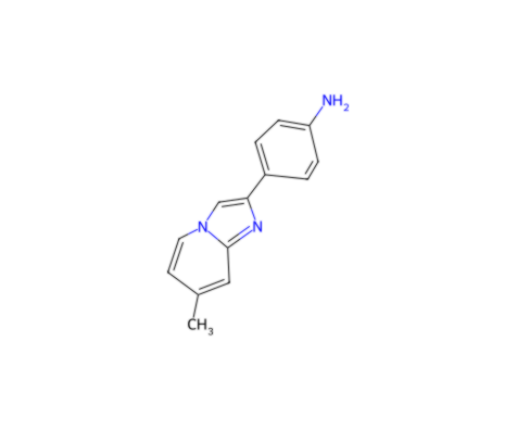 Cc1ccn2cc(-c3ccc(N)cc3)nc2c1